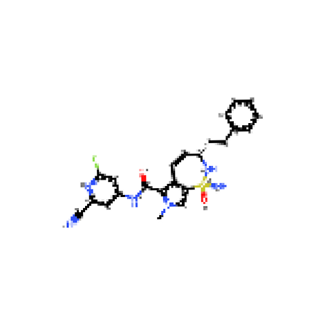 Cn1cc2c(c1C(=O)Nc1cc(F)nc(C#N)c1)C=C[C@H](CCc1ccccc1)NS2(=N)=O